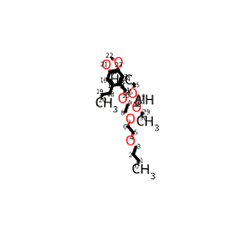 CCCCOCCOCCOCc1cc2c(cc1CCC)OCO2.CC[O][AlH][O]CC